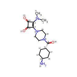 CN(C)c1c(N2CCN(C(=O)[C@H]3CC[C@H](N)CC3)CC2)c(=O)c1=O